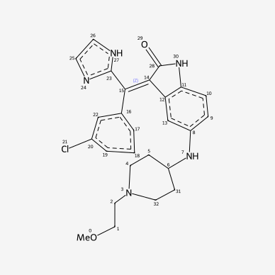 COCCN1CCC(Nc2ccc3c(c2)/C(=C(\c2cccc(Cl)c2)c2ncc[nH]2)C(=O)N3)CC1